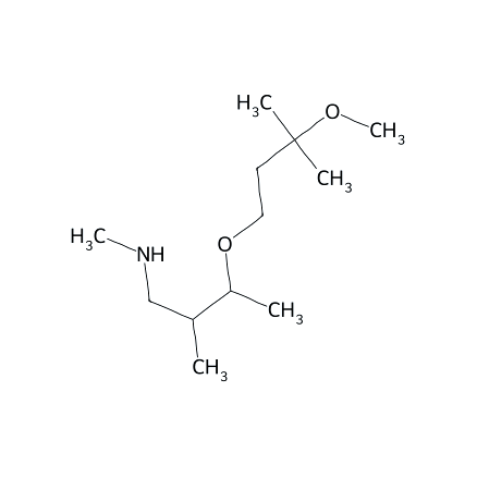 CNCC(C)C(C)OCCC(C)(C)OC